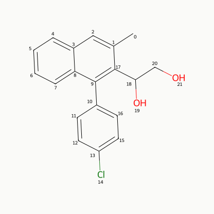 Cc1cc2ccccc2c(-c2ccc(Cl)cc2)c1C(O)CO